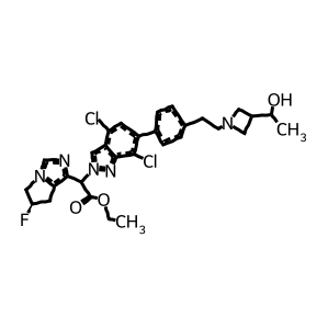 CCOC(=O)C(c1ncn2c1C[C@@H](F)C2)n1cc2c(Cl)cc(-c3ccc(CCN4CC(C(C)O)C4)cc3)c(Cl)c2n1